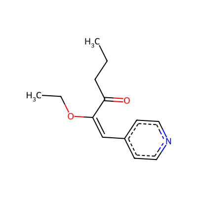 CCCC(=O)/C(=C\c1ccncc1)OCC